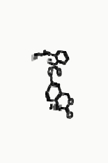 N#Cc1ccccc1S(=O)(=O)Oc1ccc2c(c1)COC(=O)N2